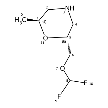 C[C@H]1CNC[C@H](COC(F)F)O1